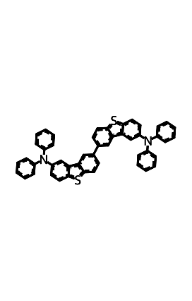 c1ccc(N(c2ccccc2)c2ccc3sc4ccc(-c5ccc6sc7ccc(N(c8ccccc8)c8ccccc8)cc7c6c5)cc4c3c2)cc1